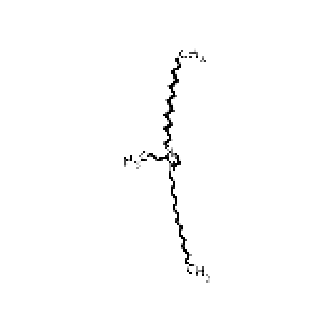 CCCCCCCCCCCCCCN1C=CN(CCCCCCCCCCCCCC)C1CCC